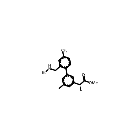 CCNCc1cc(C(F)(F)F)ccc1-c1cc(C)cc([C@H](C)C(=O)OC)c1